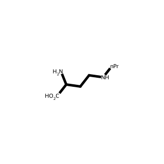 CCCNCCC(N)C(=O)O